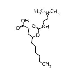 CCCCCCC(CCC(=O)O)OC(=O)NCCN(C)C